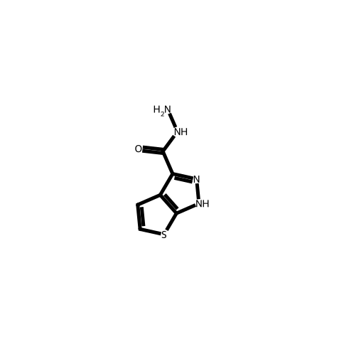 NNC(=O)c1n[nH]c2sccc12